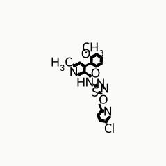 COc1ccccc1-c1cc(C)ncc1C(=O)Nc1nnc(OCc2ccc(Cl)cn2)s1